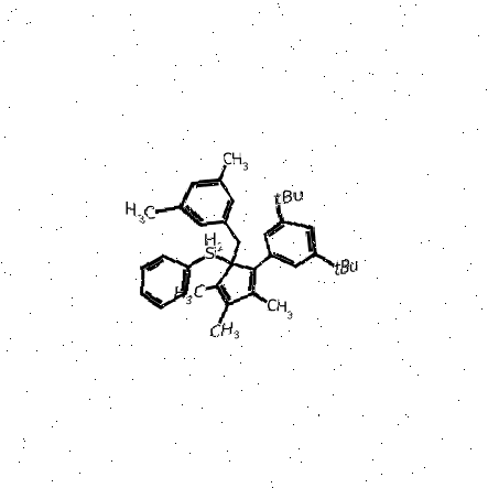 CC1=C(C)C(Cc2cc(C)cc(C)c2)([SiH2]c2ccccc2)C(c2cc(C(C)(C)C)cc(C(C)(C)C)c2)=C1C